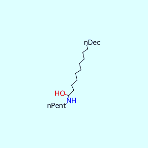 CCCCCCCCCCCCCCCCCCCC(O)NCCCCC